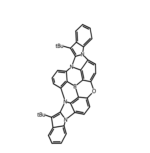 CC(C)(C)c1c2ccccc2n2c3ccc4c5c3n(c12)-c1cccc2c1B5c1c(ccc3c1n-2c1c(C(C)(C)C)c2ccccc2n31)O4